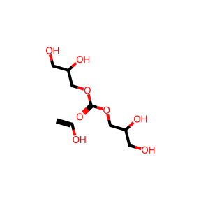 C=CO.O=C(OCC(O)CO)OCC(O)CO